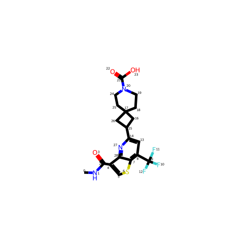 CNC(=O)c1csc2c(C(F)(F)F)cc(C3CC4(CCN(C(=O)O)CC4)C3)nc12